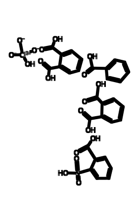 O=C(O)c1ccccc1.O=C(O)c1ccccc1C(=O)O.O=C(O)c1ccccc1C(=O)O.O=C(O)c1ccccc1S(=O)(=O)O.[O-][Cl+3]([O-])([O-])O